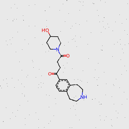 O=C(CCC(=O)N1CCC(O)CC1)c1ccc2c(c1)CCNCC2